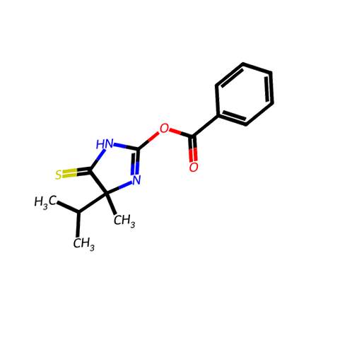 CC(C)C1(C)N=C(OC(=O)c2ccccc2)NC1=S